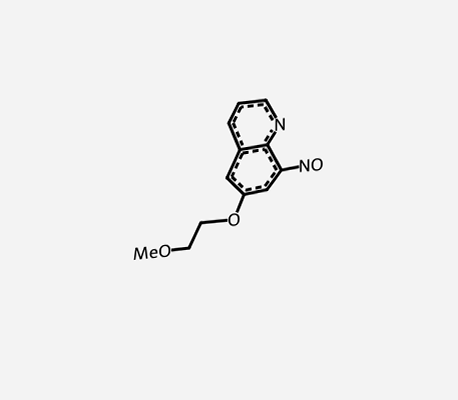 COCCOc1cc(N=O)c2ncccc2c1